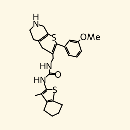 COc1cccc(C2=C(CNC(=O)Nc3sc4c(c3C)CCCC4)CC3=C(CNCC3)S2)c1